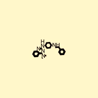 CN(C)c1nc(N[C@H]2CC[C@@H](NCCc3ccccc3)CC2)nc2ccccc12